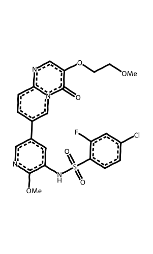 COCCOc1cnc2ccc(-c3cnc(OC)c(NS(=O)(=O)c4ccc(Cl)cc4F)c3)cn2c1=O